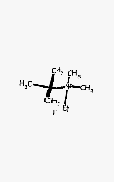 CC[N+](C)(C)C(C)(C)C.[I-]